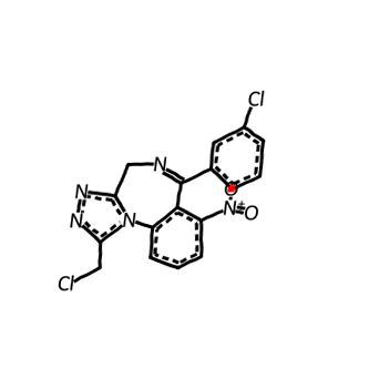 O=[N+]([O-])c1cccc2c1C(c1cccc(Cl)c1)=NCc1nnc(CCl)n1-2